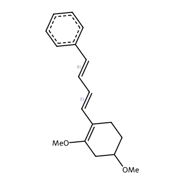 COC1=C(/C=C/C=C/c2ccccc2)CCC(OC)C1